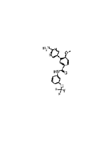 COc1ccc(C(=O)Nc2cccc(OC(F)(F)F)c2)cc1-c1cnc(N)nc1